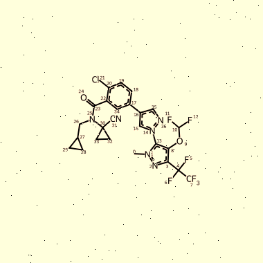 Cn1nc(C(F)(F)C(F)(F)F)c(OC(F)F)c1-n1cc(-c2ccc(Cl)c(C(=O)N(CC3CC3)C3(C#N)CC3)c2)cn1